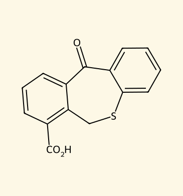 O=C(O)c1cccc2c1CSc1ccccc1C2=O